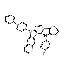 Fc1ccc(-n2c3ccccc3c3ccc4c(c5cc6ccccc6cc5n4-c4ccc(-c5ccccc5)cc4)c32)cc1